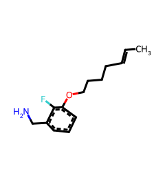 CC=CCCCCOc1cccc(CN)c1F